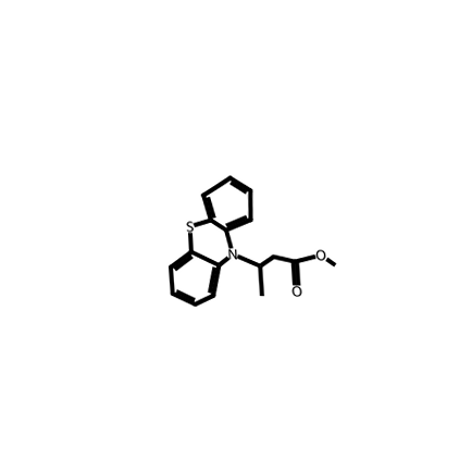 COC(=O)CC(C)N1c2ccccc2Sc2ccccc21